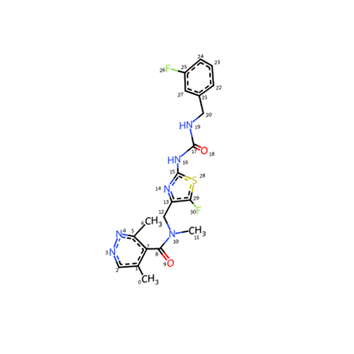 Cc1cnnc(C)c1C(=O)N(C)Cc1nc(NC(=O)NCc2cccc(F)c2)sc1F